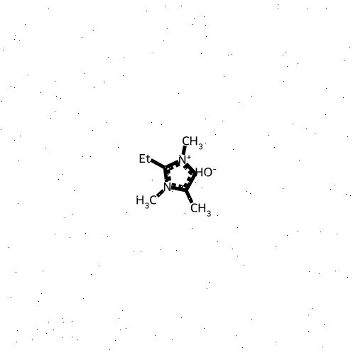 CCc1n(C)c(C)c[n+]1C.[OH-]